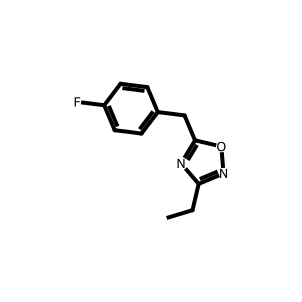 CCc1noc(Cc2ccc(F)cc2)n1